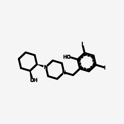 Oc1c(I)cc(I)cc1CN1CCN([C@H]2CCCC[C@@H]2O)CC1